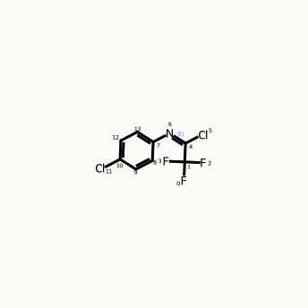 FC(F)(F)/C(Cl)=N\c1ccc(Cl)cc1